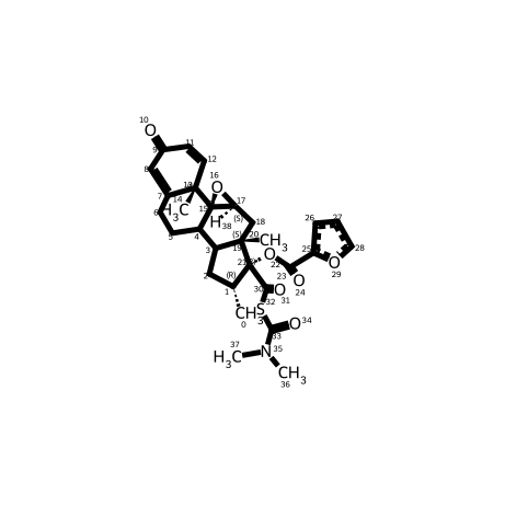 C[C@@H]1CC2C3CCC4=CC(=O)C=C[C@]4(C)[C@@]34O[C@H]4C[C@]2(C)[C@@]1(OC(=O)c1ccco1)C(=O)SC(=O)N(C)C